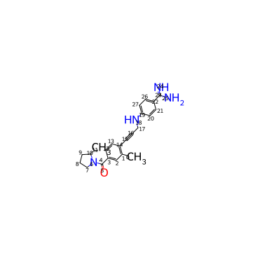 Cc1cc(C(=O)N2CCCC2C)ccc1C#CCNc1ccc(C(=N)N)cc1